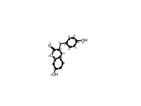 O=c1oc2cc(O)ccc2cc1Cc1ccc(O)cc1